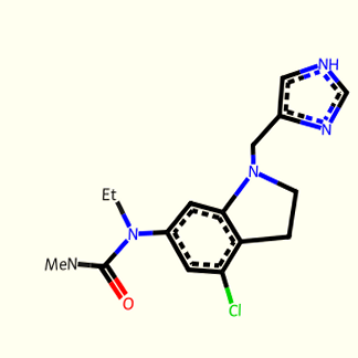 CCN(C(=O)NC)c1cc(Cl)c2c(c1)N(Cc1c[nH]cn1)CC2